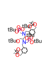 CC(C)(C)OCC(CN(Cc1cccc2c1O[Si](C)(C)OC2)CP(=O)(OC(C)(C)C)OC(C)(C)C)N(Cc1cccc2c1O[Si](C)(C)OC2)CP(=O)(OC(C)(C)C)OC(C)(C)C